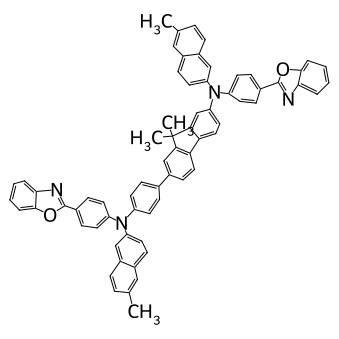 Cc1ccc2cc(N(c3ccc(-c4ccc5c(c4)C(C)(C)c4cc(N(c6ccc(-c7nc8ccccc8o7)cc6)c6ccc7cc(C)ccc7c6)ccc4-5)cc3)c3ccc(-c4nc5ccccc5o4)cc3)ccc2c1